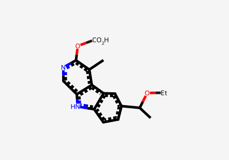 CCOC(C)c1ccc2[nH]c3cnc(OC(=O)O)c(C)c3c2c1